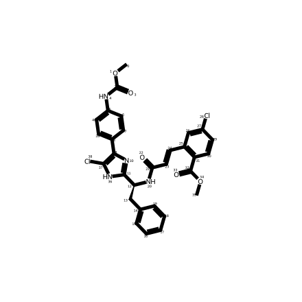 COC(=O)Nc1ccc(-c2nc([C@H](Cc3ccccc3)NC(=O)/C=C/c3cc(Cl)ccc3C(=O)OC)[nH]c2Cl)cc1